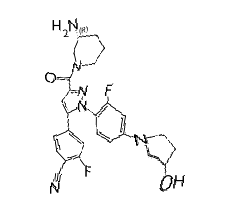 N#Cc1ccc(-c2cc(C(=O)N3CCC[C@@H](N)C3)nn2-c2ccc(N3CCC(O)C3)cc2F)cc1F